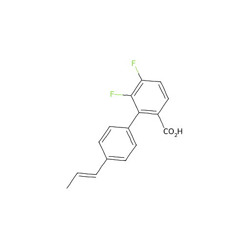 CC=Cc1ccc(-c2c(C(=O)O)ccc(F)c2F)cc1